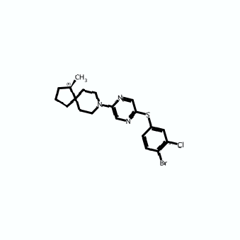 C[C@@H]1CCCC12CCN(c1cnc(Sc3ccc(Br)c(Cl)c3)cn1)CC2